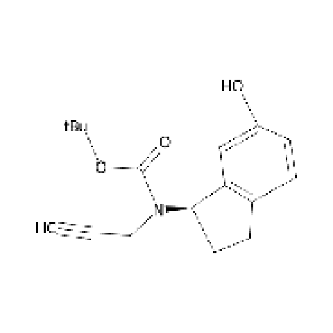 C#CCN(C(=O)OC(C)(C)C)[C@@H]1CCc2ccc(O)cc21